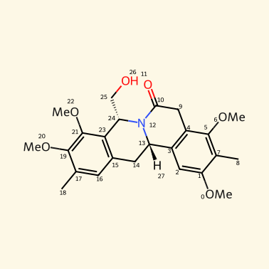 COc1cc2c(c(OC)c1C)CC(=O)N1[C@H]2Cc2cc(C)c(OC)c(OC)c2[C@@H]1CO